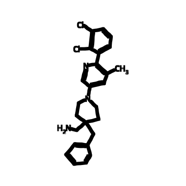 Cc1cc(N2CCC(CN)(Cc3ccccc3)CC2)cnc1-c1cccc(Cl)c1Cl